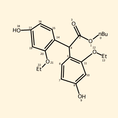 CCCCOC(=O)C(c1ccc(O)cc1OCC)c1ccc(O)cc1OCC